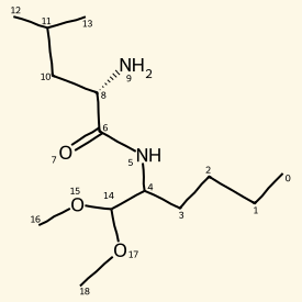 CCCCC(NC(=O)[C@@H](N)CC(C)C)C(OC)OC